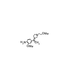 COCCN1CC[C@H](N(C)c2ccc(N)c(OC)c2)C1